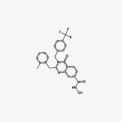 Cc1ccccc1Cc1nc2cc(C(=O)NO)ccc2c(=O)n1Cc1ccc(C(F)(F)F)cc1